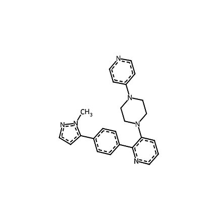 Cn1nccc1-c1ccc(-c2ncccc2N2CCN(c3ccncc3)CC2)cc1